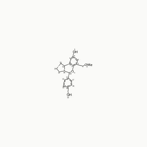 COCc1cc(O)cc2c1OC(c1ccc(O)cc1)C1CCCC21